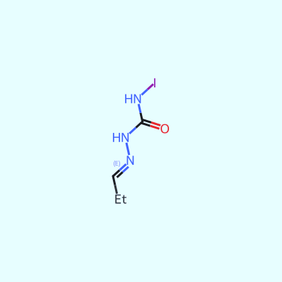 CC/C=N/NC(=O)NI